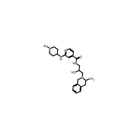 CC(=O)N1CCC(Nc2cc(C(=O)NCC(O)CN3Cc4ccccc4CC3C)ccn2)CC1